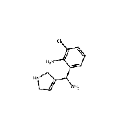 Nc1c(Cl)cccc1C(N)C1=CCNC1